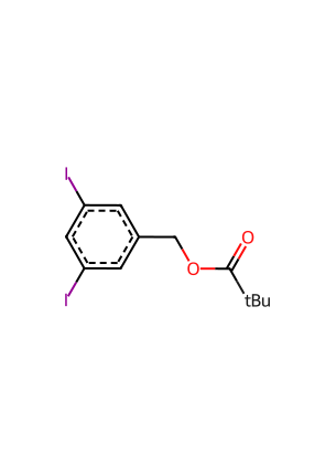 CC(C)(C)C(=O)OCc1cc(I)cc(I)c1